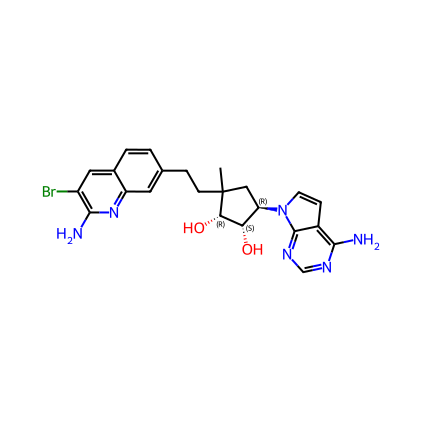 CC1(CCc2ccc3cc(Br)c(N)nc3c2)C[C@@H](n2ccc3c(N)ncnc32)[C@H](O)[C@@H]1O